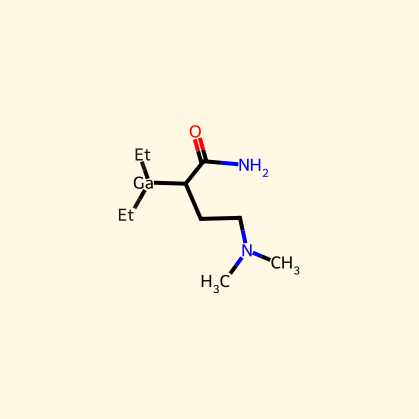 C[CH2][Ga]([CH2]C)[CH](CCN(C)C)C(N)=O